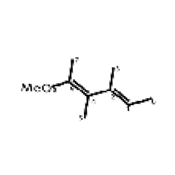 C/C=C(C)/C(C)=C(\C)OC